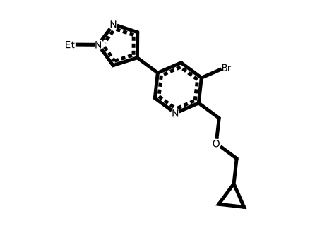 CCn1cc(-c2cnc(COCC3CC3)c(Br)c2)cn1